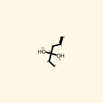 C=C[CH]C(O)(O)CC